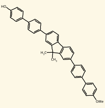 COc1ccc(-c2ccc(-c3ccc4c(c3)C(C)(C)c3cc(-c5ccc(-c6ccc(O)cc6)cc5)ccc3-4)cc2)cc1